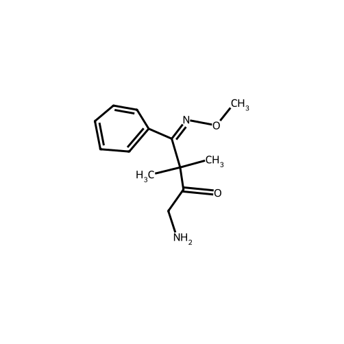 CON=C(c1ccccc1)C(C)(C)C(=O)CN